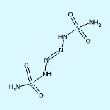 NS(=O)(=O)NN=NNS(N)(=O)=O